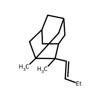 CCC=CC1(C)C2CC3CC(C2)CC1(C)C3